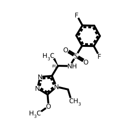 CCn1c(OC)nnc1[C@@H](C)NS(=O)(=O)c1cc(F)ccc1F